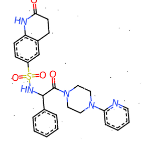 O=C1CCc2cc(S(=O)(=O)NC(C(=O)N3CCN(c4ccccn4)CC3)c3ccccc3)ccc2N1